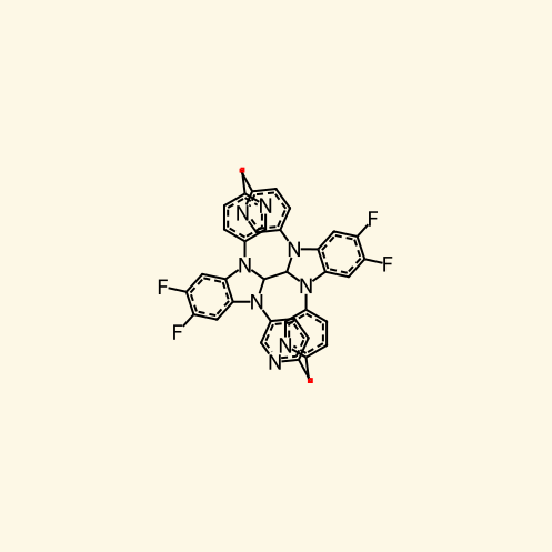 Cc1ccc(N2c3cc(F)c(F)cc3N(c3ccc(C)nc3)C2C2N(c3ccc(C)nc3)c3cc(F)c(F)cc3N2c2ccc(C)nc2)cn1